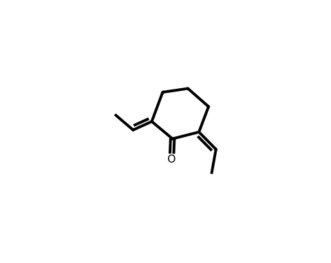 CC=C1CCCC(=CC)C1=O